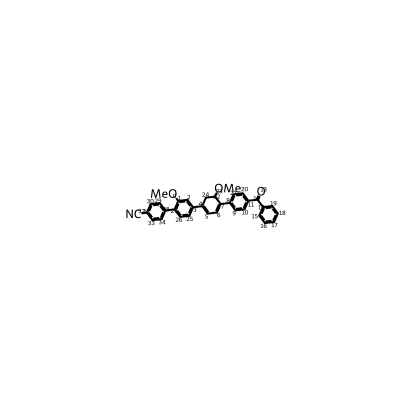 COc1cc(C2=CC=C(c3ccc(C(=O)c4ccccc4)cc3)C(OC)C2)ccc1-c1ccc(C#N)cc1